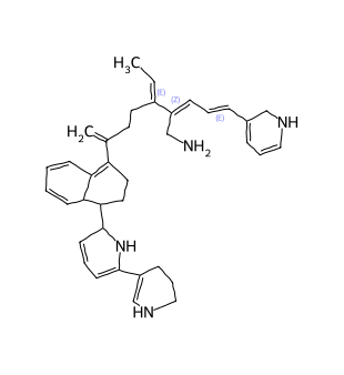 C=C(CCC(=C\C)/C(=C/C=C/C1=CC=CNC1)CN)C1=C2C=CC=CC2C(C2C=CC=C(C3=CNCCC3)N2)CC1